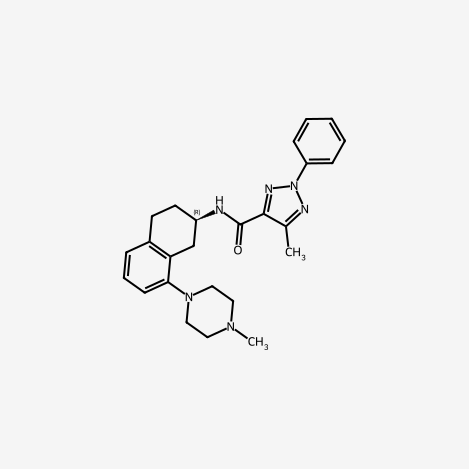 Cc1nn(-c2ccccc2)nc1C(=O)N[C@@H]1CCc2cccc(N3CCN(C)CC3)c2C1